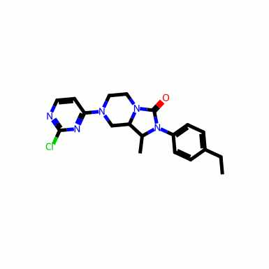 CCc1ccc(N2C(=O)N3CCN(c4ccnc(Cl)n4)CC3C2C)cc1